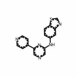 c1cc(-c2cncc(Nc3ccc4scnc4c3)n2)ccn1